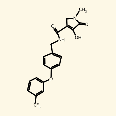 CN1CC(C(=O)NCc2ccc(Oc3cccc(C(F)(F)F)c3)cc2)=C(O)C1=O